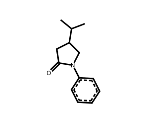 CC(C)C1CC(=O)N(c2ccccc2)C1